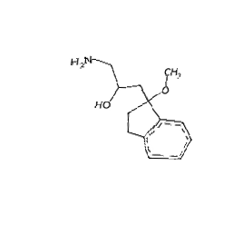 COC1(CC(O)CN)CCc2ccccc21